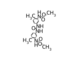 CCOC(=O)Nc1cc(NC(=O)Nc2ccc(C)c(NC(=O)OCC)c2)ccc1C